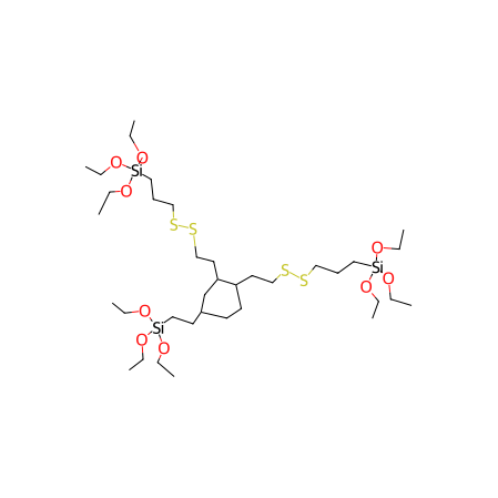 CCO[Si](CCCSSCCC1CCC(CC[Si](OCC)(OCC)OCC)CC1CCSSCCC[Si](OCC)(OCC)OCC)(OCC)OCC